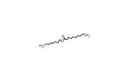 [CH2]CCCCCCCOC(=O)CCCCCCCCC